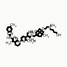 C/C(NCC1CC2(C)CC3(OCCN(C)CCCCO)CC4(C)CC1CC243)=C(/C=N)c1ccc(N2CCCc3c2nnc(Nc2nc4cc(C)ccc4s2)c3C)nc1C(=O)O